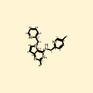 Cc1ccc(CNc2nc(C)nc3ccn(Cc4ccccn4)c23)nc1